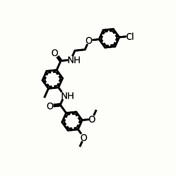 COc1ccc(C(=O)Nc2cc(C(=O)NCCOc3ccc(Cl)cc3)ccc2C)cc1OC